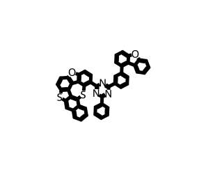 c1ccc(-c2nc(-c3cccc(-c4cccc5oc6ccccc6c45)c3)nc(-c3ccc4oc5ccc6sc7cc8ccccc8c8sc3c4c5c6c78)n2)cc1